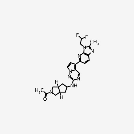 CC(=O)N1C[C@H]2CC(Nc3ncc4c(-c5ccc6nc(C)n(CC(F)F)c6n5)ccn4n3)C[C@H]2C1